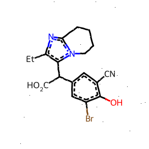 CCc1nc2n(c1C(C(=O)O)c1cc(Br)c(O)c(C#N)c1)CCCC2